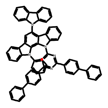 c1ccc(-c2ccc(-c3nc(-c4ccc(-c5ccccc5)cc4)nc(-n4c5ccccc5c5c(-n6c7ccccc7c7ccccc76)cc6c7ccccc7n(-c7ccccc7)c6c54)n3)cc2)cc1